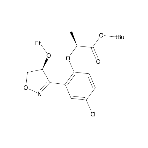 CCO[C@@H]1CON=C1c1cc(Cl)ccc1O[C@@H](C)C(=O)OC(C)(C)C